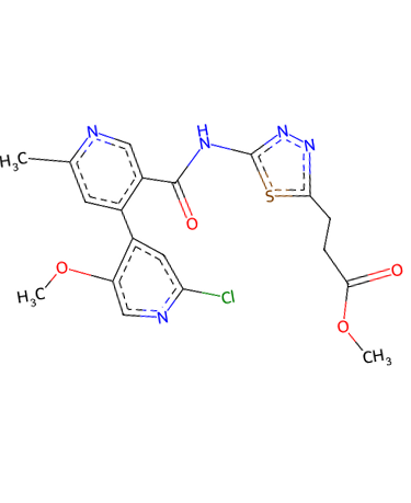 COC(=O)CCc1nnc(NC(=O)c2cnc(C)cc2-c2cc(Cl)ncc2OC)s1